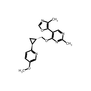 COc1ccc([C@H]2C[C@@H]2COc2nc(C)ncc2-c2ocnc2C)nc1